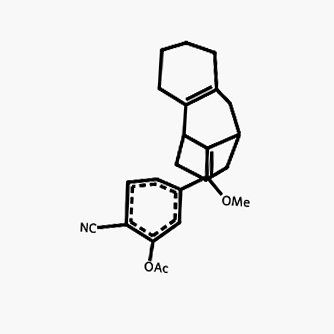 CO/C(=C1\C2CCCC1C1=C(CCCC1)C2)c1ccc(C#N)c(OC(C)=O)c1